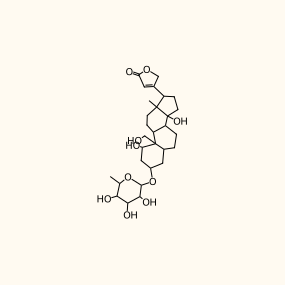 CC1OC(OC2CC(O)C3(CO)C(CCC4C3CCC3(C)C(C5=CC(=O)OC5)CCC43O)C2)C(O)C(O)C1O